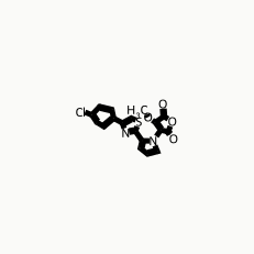 COC1=C(n2cccc2-c2nc(-c3ccc(Cl)cc3)cs2)C(=O)OC1=O